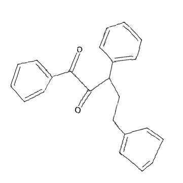 O=C(C(=O)C(CCc1ccccc1)c1ccccc1)c1ccccc1